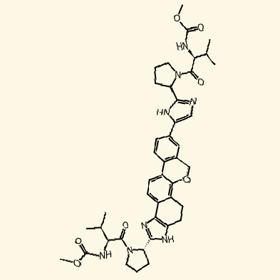 COC(=O)N[C@H](C(=O)N1CCCC1c1ncc(-c2ccc3c(c2)COc2c-3ccc3c2CCc2[nH]c([C@@H]4CCCN4C(=O)[C@@H](NC(=O)OC)C(C)C)nc2-3)[nH]1)C(C)C